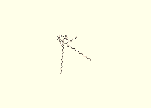 C=CCO[C@H]1O[C@@H]2COC(C)(C)O[C@H]2[C@H](OCCCCCCCCCCCC)[C@H]1OCCCCCCCCCCCC